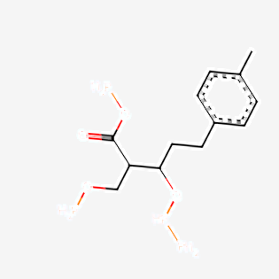 Cc1ccc(CCC(OPP)C(COP)C(=O)OP)cc1